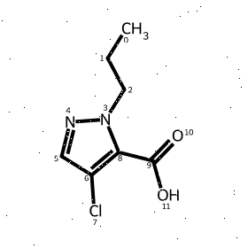 CCCn1ncc(Cl)c1C(=O)O